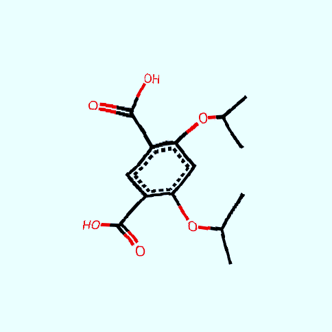 CC(C)Oc1cc(OC(C)C)c(C(=O)O)cc1C(=O)O